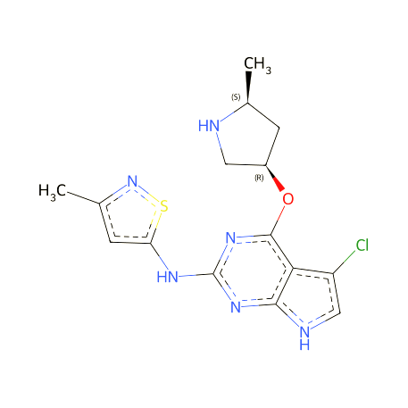 Cc1cc(Nc2nc(O[C@H]3CN[C@@H](C)C3)c3c(Cl)c[nH]c3n2)sn1